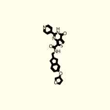 O=C(NCC1Cc2ccc(OC3CCOC3)cc2C1)c1scc2c(=O)[nH]c(-c3ccncc3)nc12